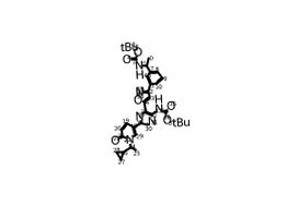 CC(NC(=O)OC(C)(C)C)c1cccc(-c2cc(-c3nc(-c4ccc(=O)n(C(C)C5CC5)c4)cnc3NC(=O)OC(C)(C)C)on2)c1